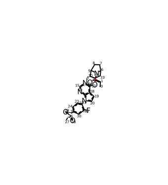 CC=C(OC)N1C2CCC1CC(Oc1ncnc3c1ccn3-c1ccc(S(C)(=O)=O)cc1F)C2